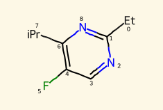 CCc1ncc(F)c(C(C)C)n1